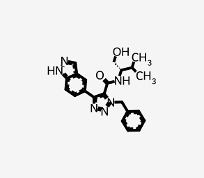 CC(C)[C@@H](CO)NC(=O)c1c(-c2ccc3[nH]ncc3c2)nnn1Cc1ccccc1